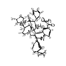 CS(=O)(=O)c1ccc2nc(-c3cccc(C(F)(F)F)c3)c(CN3CCC(N4CCCC4)CC3)c(C(=O)N[C@H](c3ccccc3)C(F)(F)F)c2c1